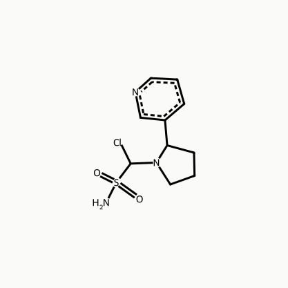 NS(=O)(=O)C(Cl)N1CCCC1c1cccnc1